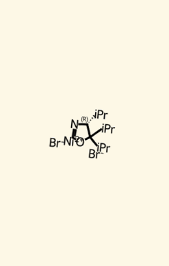 CC(C)[C@H]1N=COC1(C(C)C)C(C)C.[Br-].[Br-].[Ni+2]